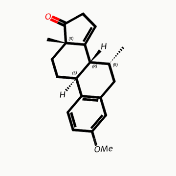 COc1ccc2c(c1)C[C@@H](C)[C@H]1C3=CCC(=O)[C@@]3(C)CC[C@H]21